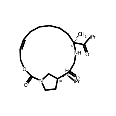 CC(C)N[C@]12CCN(C1)C(=O)OCC=CCCCCC[C@@](C)(C(=O)C(C)C)NCC2=O